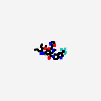 CCCC(N[C@@H]1CC[C@](CN(C)C(=O)c2ncco2)(C(=O)N2CCc3ncc(C(F)(F)F)cc3C2)C1)C(CC)OC